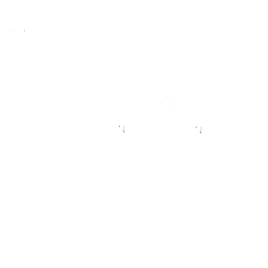 C=C1C2C(Cc3ccccc3-c3cccc[n+]31)c1ccccc1-c1cc3cc(C)ccc3c[n+]12